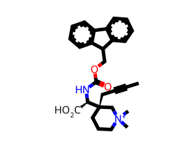 CC#CC[C@]1([C@H](NC(=O)OCC2c3ccccc3-c3ccccc32)C(=O)O)CCC[N+](C)(C)C1